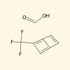 FC(F)(F)c1cc2ccc1-2.O=CO